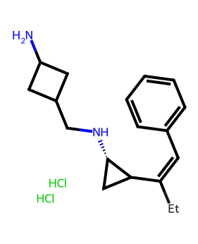 CCC(=Cc1ccccc1)C1C[C@@H]1NCC1CC(N)C1.Cl.Cl